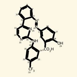 O=C(O)c1cc(/N=N/c2ccccc2-c2ccnc(Nc3ccc(C(F)(F)F)cc3)n2)ccc1O